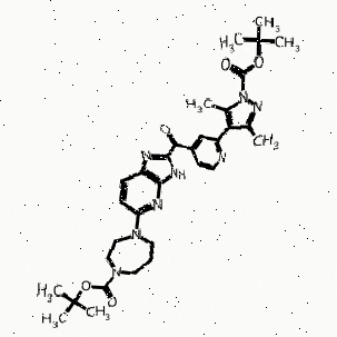 Cc1nn(C(=O)OC(C)(C)C)c(C)c1-c1cc(C(=O)c2nc3ccc(N4CCCN(C(=O)OC(C)(C)C)CC4)nc3[nH]2)ccn1